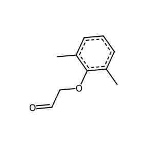 Cc1cccc(C)c1OCC=O